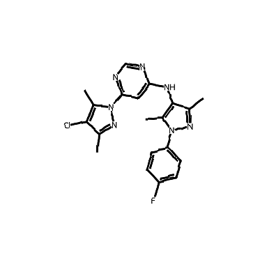 Cc1nn(-c2cc(Nc3c(C)nn(-c4ccc(F)cc4)c3C)ncn2)c(C)c1Cl